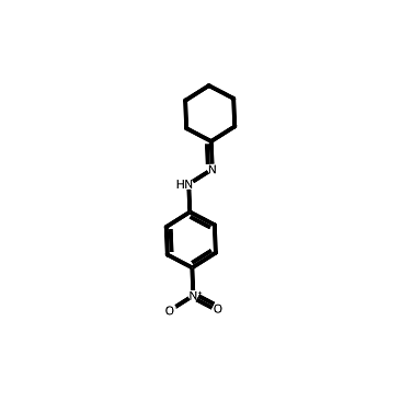 O=[N+]([O-])c1ccc(NN=C2CCCCC2)cc1